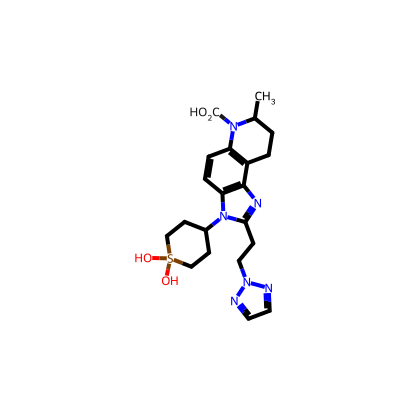 CC1CCc2c(ccc3c2nc(CCn2nccn2)n3C2CCS(O)(O)CC2)N1C(=O)O